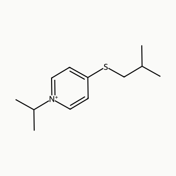 CC(C)CSc1cc[n+](C(C)C)cc1